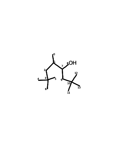 CC(CC(C)(C)C)C(O)CC(C)(C)C